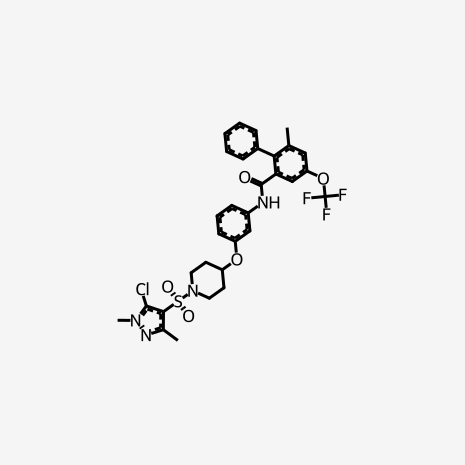 Cc1cc(OC(F)(F)F)cc(C(=O)Nc2cccc(OC3CCN(S(=O)(=O)c4c(C)nn(C)c4Cl)CC3)c2)c1-c1ccccc1